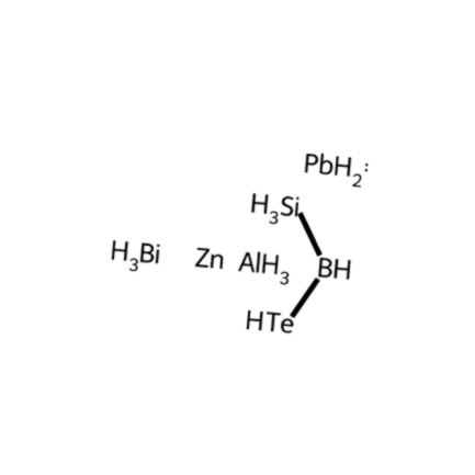 [AlH3].[BiH3].[PbH2].[SiH3]B[TeH].[Zn]